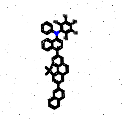 [2H]c1c([2H])c([2H])c(N(c2ccccc2)c2ccc(-c3cc4c5c(ccc6cc(-c7ccc8ccccc8c7)cc(c65)C4(C)C)c3)c3ccccc23)c([2H])c1[2H]